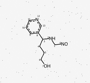 O=NCNC(CCCO)c1cccnc1